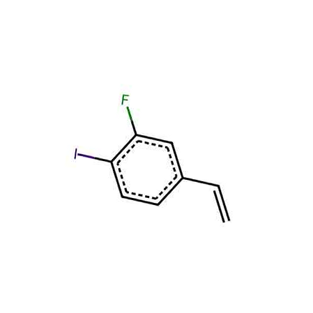 C=Cc1ccc(I)c(F)c1